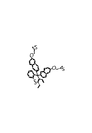 C=CC1=C(C=C)C(c2ccc3cc(OCC4CS4)ccc3c2)(c2ccc3cc(OCC4CS4)ccc3c2)c2ccccc2S1